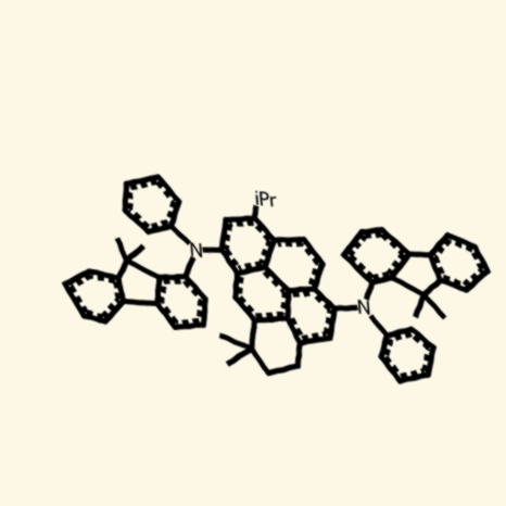 CC(C)c1cc(N(c2ccccc2)c2cccc3c2C(C)(C)c2ccccc2-3)c2cc3c4c(cc(N(c5ccccc5)c5cccc6c5C(C)(C)c5ccccc5-6)c5ccc1c2c54)CCC3(C)C